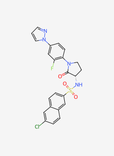 O=C1[C@@H](NS(=O)(=O)c2ccc3cc(Cl)ccc3c2)CCN1c1ccc(-n2cccn2)cc1F